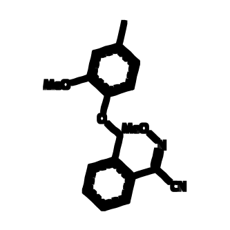 CO/N=C(/C#N)c1ccccc1COc1ccc(C)cc1OC